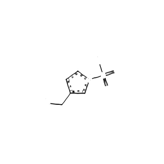 O=S(=O)(I)n1ccc(CO)c1